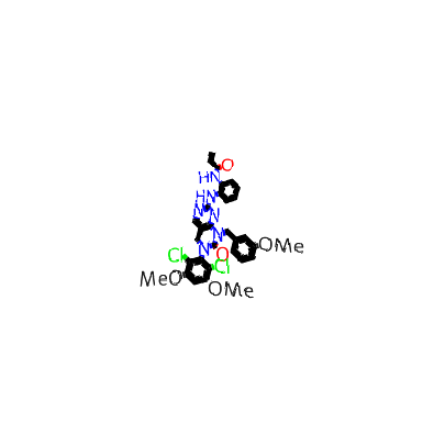 C=CC(=O)Nc1ccccc1Nc1ncc2c(n1)N(Cc1cccc(OC)c1)C(=O)N(c1c(Cl)c(OC)cc(OC)c1Cl)C2